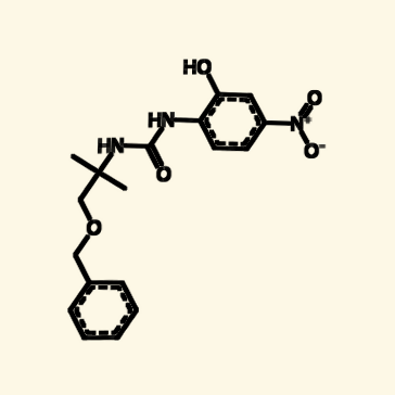 CC(C)(COCc1ccccc1)NC(=O)Nc1ccc([N+](=O)[O-])cc1O